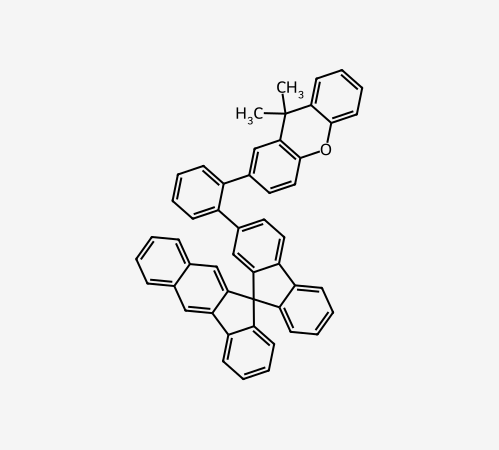 CC1(C)c2ccccc2Oc2ccc(-c3ccccc3-c3ccc4c(c3)C3(c5ccccc5-4)c4ccccc4-c4cc5ccccc5cc43)cc21